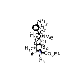 CCOC(=O)/C(C)=C/[C@H](C(C)C)N(C)C(=O)C(NC(=O)[C@@H](NC)C(C)(C)c1cccc(N)c1)C(C)(C)C